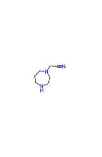 N#CCN1CCCNCC1